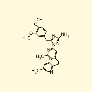 COc1ccc(Cc2nc(N)nn2-c2cc(CCc3ccc(C)cn3)nc(C)n2)cc1OC